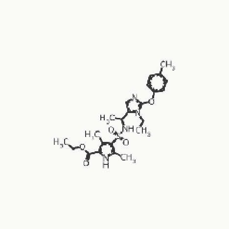 CCOC(=O)c1[nH]c(C)c(S(=O)(=O)NC(C)c2cnc(Oc3ccc(C)cc3)n2CC)c1C